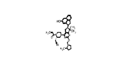 C=CC(=O)N1CCN(c2nc(OCN3CCCC3C)nc3c2CN(C2Cc4cccc5cc(O)cc2c45)C3(C)C)C[C@@H]1CC#N